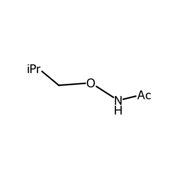 [CH2]C(=O)NOCC(C)C